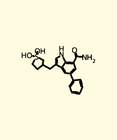 NC(=O)c1cc(-c2ccccc2)cc2c(CC3CCS(O)(O)C3)c[nH]c12